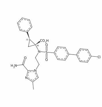 Cc1cn(CCN([C@]2(C(=O)O)C[C@H]2c2ccccc2)S(=O)(=O)c2ccc(-c3ccc(Cl)cc3)cc2)c(C(N)=O)n1